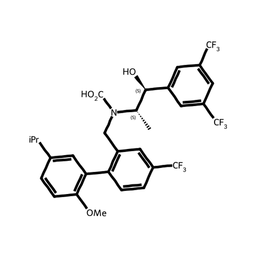 COc1ccc(C(C)C)cc1-c1ccc(C(F)(F)F)cc1CN(C(=O)O)[C@@H](C)[C@@H](O)c1cc(C(F)(F)F)cc(C(F)(F)F)c1